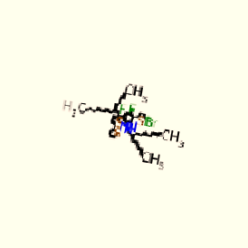 CCCCCCCCC(CCCCCC)Cn1nc2c(-c3ccc(Br)s3)c(F)c(F)c(C3(CC(CCCCCC)CCCCCCCC)CC=C(c4cccs4)S3)c2n1